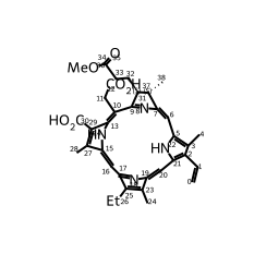 C=Cc1c(C)c2cc3nc(c(CC(=O)O)c4[nH]c(cc5nc(cc1[nH]2)C(C)=C5CC)c(C)c4C(=O)O)[C@@H](CCC(=O)OC)[C@@H]3C